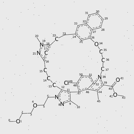 COCCOCCn1nc(C)c2c1CCCc1cc(n(C)n1)CCc1cc(c3ccccc3c1)OCCCn1c(C(=O)OC)c(C)c3c-2c(Cl)ccc31